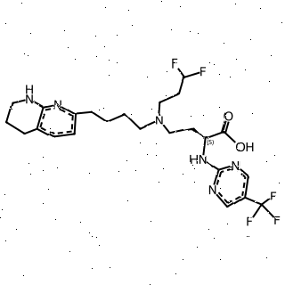 O=C(O)[C@H](CCN(CCCCc1ccc2c(n1)NCCC2)CCC(F)F)Nc1ncc(C(F)(F)F)cn1